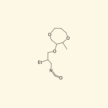 CCC(CN=C=O)COC1COCCCOC1C